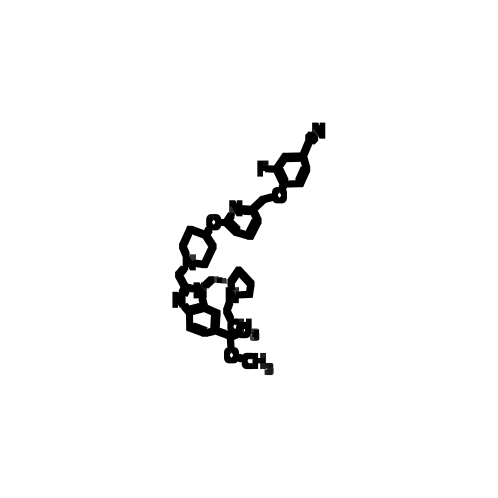 CCN1CCC[C@H]1Cn1c(CN2CCC(Oc3cccc(COc4ccc(C#N)cc4F)n3)CC2)nc2ccc(C(=O)OC)cc21